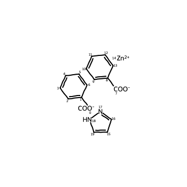 O=C([O-])c1ccccc1.O=C([O-])c1ccccc1.[Zn+2].c1cn[nH]c1